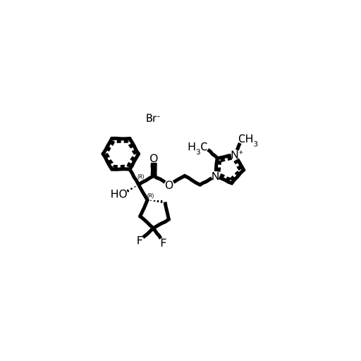 Cc1n(CCOC(=O)[C@](O)(c2ccccc2)[C@@H]2CCC(F)(F)C2)cc[n+]1C.[Br-]